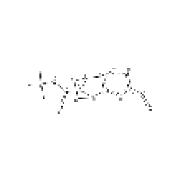 CC(C)(C)OC(=O)N1C2CCC1c1cc(C=O)ccc12